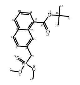 COP(=S)(Cc1ccc2cccc(C(=O)OC(C)(C)C)c2c1)OC